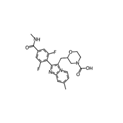 CNC(=O)c1cc(F)c(-c2nc3cc(C)ccn3c2CC2CN(C(=O)O)CCO2)c(F)c1